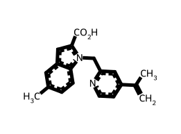 C=C(C)c1ccnc(Cn2c(C(=O)O)cc3cc(C)ccc32)c1